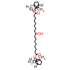 CC1(C)[C@H]2CC[C@]1(C)[C@H](OC(=O)CCCCCCCC(O)CCCCCCCC(=O)O[C@@H]1C[C@@H]3CC[C@@]1(C)C3(C)C)C2